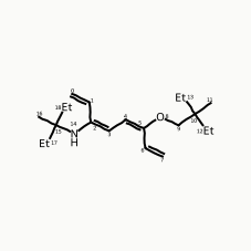 C=C/C(=C\C=C(/C=C)OCC(C)(CC)CC)NC(C)(CC)CC